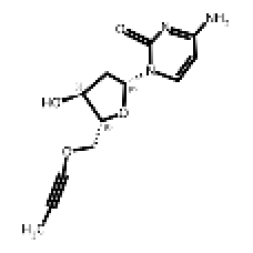 CC#COC[C@H]1O[C@@H](n2ccc(N)nc2=O)C[C@@H]1O